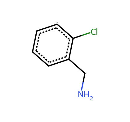 NCc1ccc[c]c1Cl